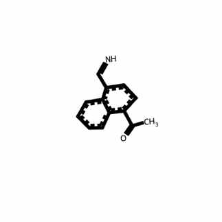 CC(=O)c1ccc(C=N)c2ccccc12